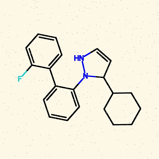 Fc1ccccc1-c1ccccc1N1NC=CC1C1CCCCC1